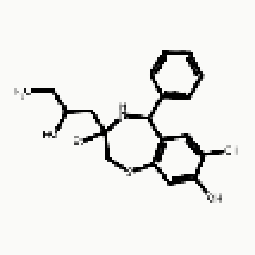 CCC1(CC(O)CC(F)(F)F)CSc2cc(O)c(O)cc2C(c2ccccc2)N1